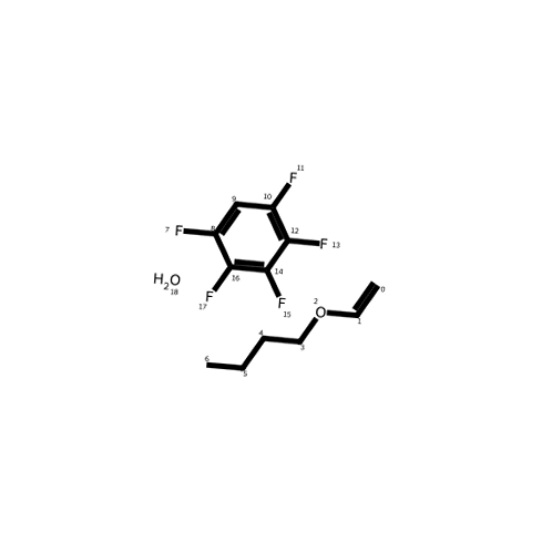 C=COCCCC.Fc1cc(F)c(F)c(F)c1F.O